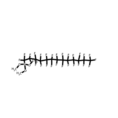 CO[Si](OC)(OC)C(F)(F)C(F)(F)C(F)(F)C(F)(F)C(F)(F)C(F)(F)C(F)(F)C(F)(F)C(F)(F)C(F)(F)C(F)(F)C(F)(F)C(F)(F)F